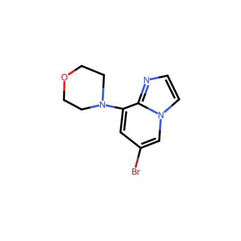 Brc1cc(N2CCOCC2)c2nccn2c1